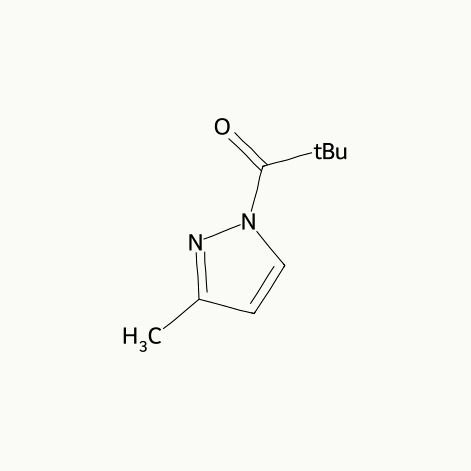 Cc1ccn(C(=O)C(C)(C)C)n1